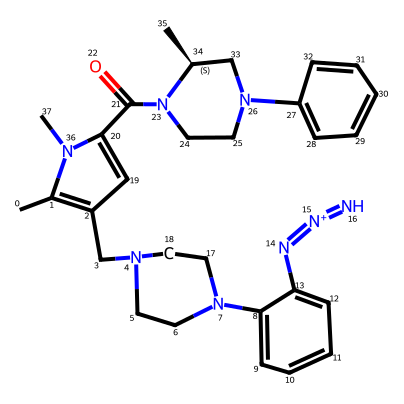 Cc1c(CN2CCN(c3ccccc3N=[N+]=N)CC2)cc(C(=O)N2CCN(c3ccccc3)C[C@@H]2C)n1C